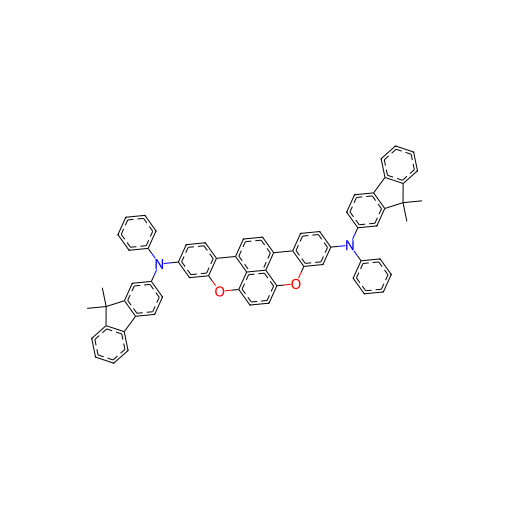 CC1(C)c2ccccc2-c2ccc(N(c3ccccc3)c3ccc4c(c3)Oc3ccc5c6c(ccc-4c36)-c3ccc(N(c4ccccc4)c4ccc6c(c4)C(C)(C)c4ccccc4-6)cc3O5)cc21